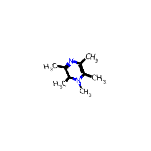 CC1=NC(C)=C(C)N(C)C1C